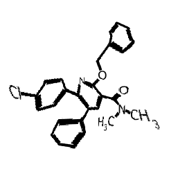 CN(C)C(=O)c1cc(-c2ccccc2)c(-c2ccc(Cl)cc2)nc1OCc1ccccc1